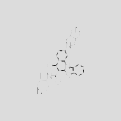 CN1CCC(NC(=O)c2c(=O)c3ccc(N4CC5CN(C)CC5C4)cc3n3c2sc2ccccc23)CC1